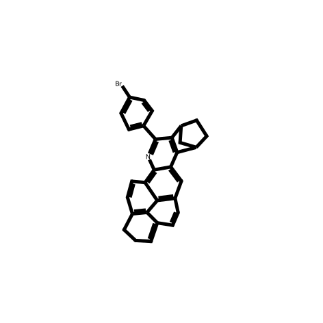 Brc1ccc(-c2nc3c(cc4ccc5c6c(ccc3c46)CCC=5)c3c2C2CCC3C2)cc1